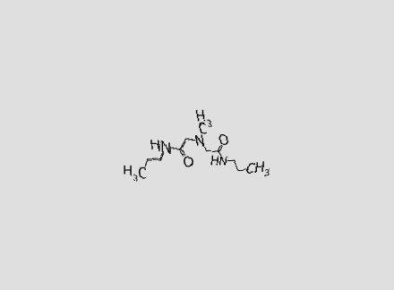 CCCNC(=O)CN(C)CC(=O)NCCC